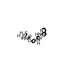 CCC(C)NC(=O)O[C@@H]1CC[C@H](c2cc(Nc3nccc4cccnc34)n[nH]2)C1